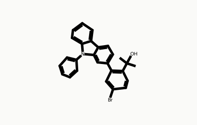 CC(C)(O)c1ccc(Br)cc1-c1ccc2c3ccccc3n(-c3ccccc3)c2c1